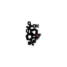 CC(Oc1ccc(S(C)(=O)=O)c(C(F)(F)F)c1)(C(=O)O)c1ccc(F)cc1